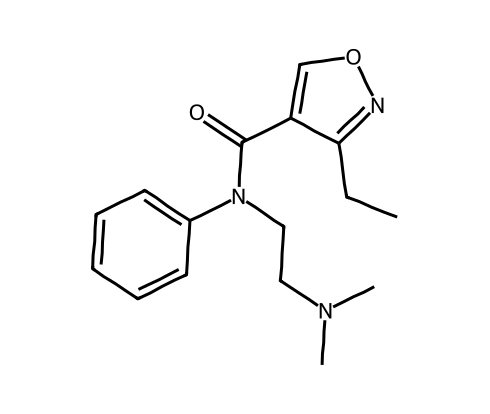 CCc1nocc1C(=O)N(CCN(C)C)c1ccccc1